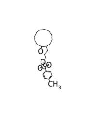 Cc1ccc(S(=O)(=O)OCCCC2CCCCCCCCCCC2=O)cc1